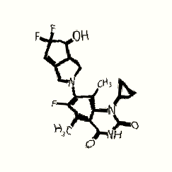 Cc1c(F)c(N2CC3=CC(F)(F)C(O)C3C2)c(C)c2c1c(=O)[nH]c(=O)n2C1CC1